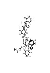 CCOC(=O)c1c(-c2ccccc2)oc2ncnc(NCCc3ccc(NC(=O)Nc4ccccc4)cc3)c12